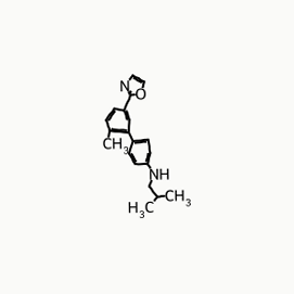 Cc1ccc(-c2ncco2)cc1-c1ccc(NCC(C)C)cc1